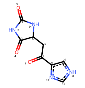 O=C1NC(=O)C(CC(=O)c2c[nH]cn2)N1